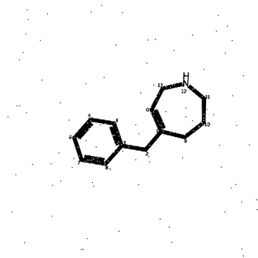 C1=C(Cc2ccccc2)CCCNC1